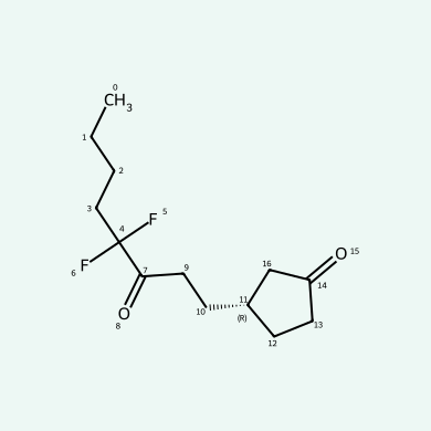 CCCCC(F)(F)C(=O)CC[C@H]1CCC(=O)C1